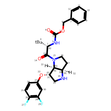 CC(C)(C)[C@H](NC(=O)OCc1ccccc1)C(=O)N1CC[C@H]2NC[C@H](Oc3ccc(F)c(F)c3)[C@H]21